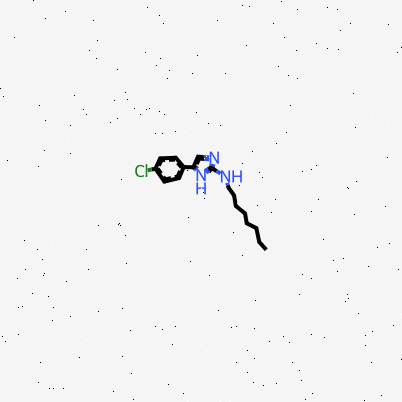 CCCCCCCCNc1ncc(-c2ccc(Cl)cc2)[nH]1